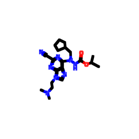 CC(C)OC(=O)NN(CC1CCCC1)c1nc(C#N)nc2c1ncn2CCN(C)C